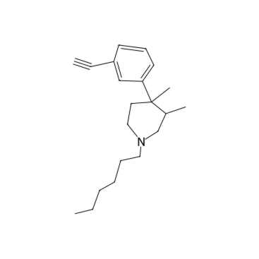 C#Cc1cccc(C2(C)CCN(CCCCCC)CC2C)c1